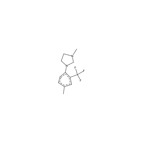 Cc1ccc(N2CCN(C)C2)c(C(F)(F)F)c1